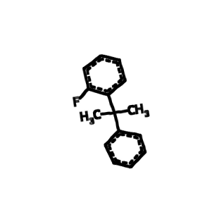 CC(C)(c1ccccc1)c1ccccc1F